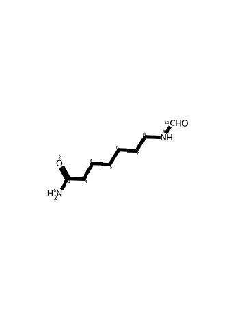 NC(=O)CCCCCCNC=O